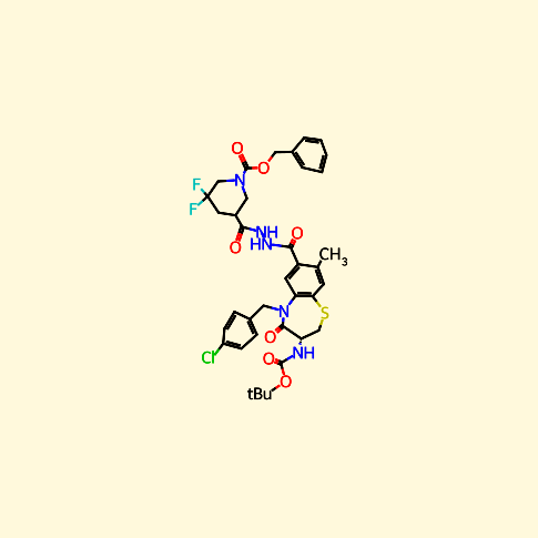 Cc1cc2c(cc1C(=O)NNC(=O)C1CN(C(=O)OCc3ccccc3)CC(F)(F)C1)N(Cc1ccc(Cl)cc1)C(=O)[C@@H](NC(=O)OC(C)(C)C)CS2